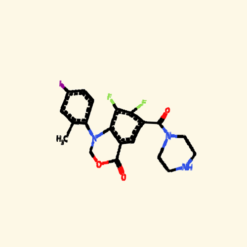 Cc1cc(I)ccc1N1COC(=O)c2cc(C(=O)N3CCNCC3)c(F)c(F)c21